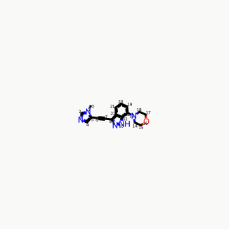 Cn1cncc1C#Cc1n[nH]c2c(N3CCOCC3)cccc12